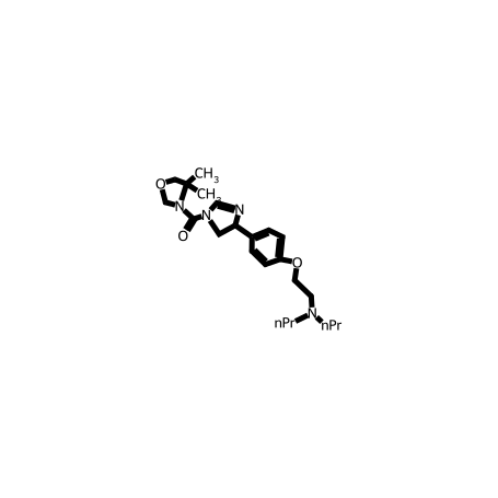 CCCN(CCC)CCOc1ccc(C2CN(C(=O)N3COCC3(C)C)C=N2)cc1